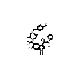 CC1CN(Cc2ccc(F)cc2)[C@@H](C)CN1C(=O)c1cc2c(C(=O)C(=O)N3CCCC3)c[nH]c2cc1Cl